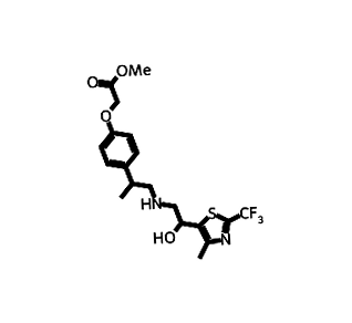 COC(=O)COc1ccc(C(C)CNCC(O)c2sc(C(F)(F)F)nc2C)cc1